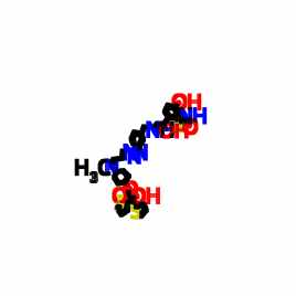 CN(CCCn1nnc2cc(CNC[C@H](O)c3ccc(O)c4[nH]c(=O)sc34)ccc21)[C@H]1CC[C@H](OC(=O)C(O)(c2cccs2)c2cccs2)CC1